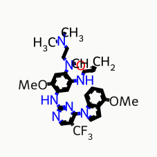 C=CC(=O)Nc1cc(Nc2ncc(C(F)(F)F)c(-n3ccc4c(OC)cccc43)n2)c(OC)cc1N(C)CCN(C)C